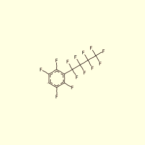 Fc1[c]c(F)c(F)c(C(F)(F)C(F)(F)C(F)(F)C(F)(F)F)c1F